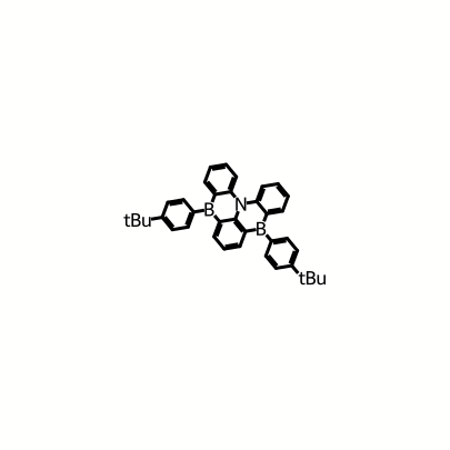 CC(C)(C)c1ccc(B2c3ccccc3N3c4ccccc4B(c4ccc(C(C)(C)C)cc4)c4cccc2c43)cc1